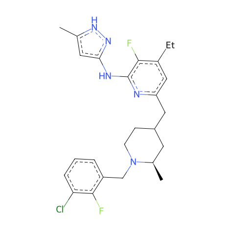 CCc1cc(CC2CCN(Cc3cccc(Cl)c3F)[C@H](C)C2)nc(Nc2cc(C)[nH]n2)c1F